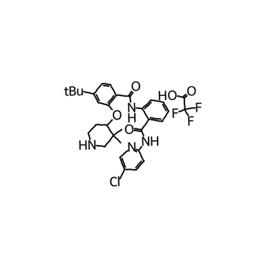 CC(C)(C)c1ccc(C(=O)Nc2ccccc2C(=O)Nc2ccc(Cl)cn2)c(OC2CCNCC2(C)C)c1.O=C(O)C(F)(F)F